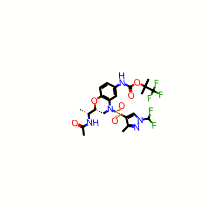 CC(=O)N[C@H](C)[C@H]1CN(S(=O)(=O)c2cn(C(F)F)nc2C)c2cc(NC(=O)OC(C)(C)C(F)(F)F)ccc2O1